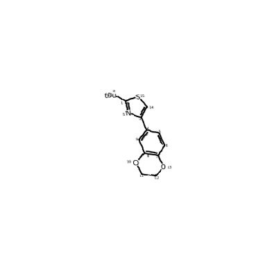 CC(C)(C)c1nc(-c2ccc3c(c2)OCCO3)cs1